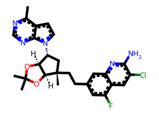 Cc1ncnc2c1ccn2[C@@H]1C[C@](C)(CCc2cc(F)c3cc(Cl)c(N)nc3c2)[C@H]2OC(C)(C)O[C@@H]12